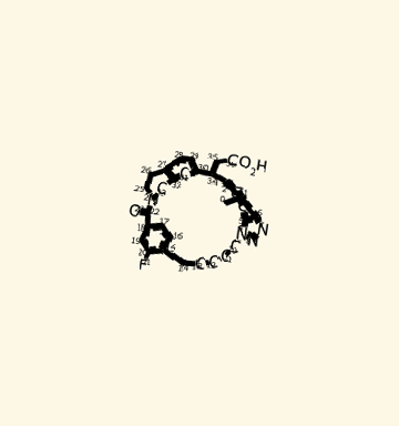 Cc1c2ccc3c1nnn3CCCCCc1ccc(cc1F)C(=O)N1CCc3ccc(cc3C1)C2CC(=O)O